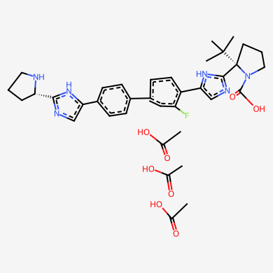 CC(=O)O.CC(=O)O.CC(=O)O.CC(C)(C)[C@]1(c2ncc(-c3ccc(-c4ccc(-c5cnc([C@@H]6CCCN6)[nH]5)cc4)cc3F)[nH]2)CCCN1C(=O)O